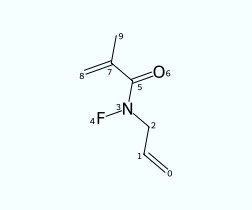 C=CCN(F)C(=O)C(=C)C